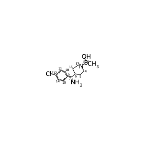 CB(O)N1CCC(C(N)c2ccc(Cl)cc2)CC1